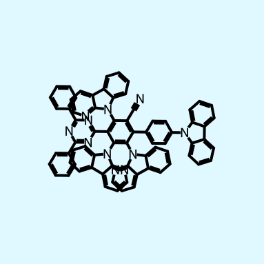 N#Cc1c(-c2ccc(-n3c4ccccc4c4ccccc43)cc2)c(-n2c3ccccc3c3cccnc32)c(-n2c3ccccc3c3cccnc32)c(-c2nc(-c3ccccc3)nc(-c3ccccc3)n2)c1-n1c2ccccc2c2cccnc21